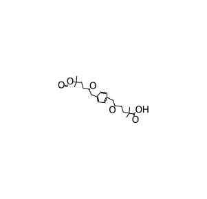 CC(C)(CCC(=O)Cc1ccc(CC(=O)CCC(C)(C)C(=O)O)cc1)OC=O